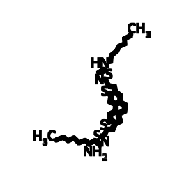 CCCCCCCCNc1cnc(-c2cc3cc4ccc5cc6cc(-c7ncc(C(N)CCCCCCC)s7)sc6cc5c4cc3s2)s1